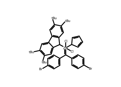 CC(C)(C)c1cc2c(cc1C(C)(C)C)[CH]([Zr]([Cl])([Cl])(=[C](c1ccc(Br)cc1)c1ccc(Br)cc1)[CH]1C=CC=C1)c1cc(C(C)(C)C)c(C(C)(C)C)cc1-2